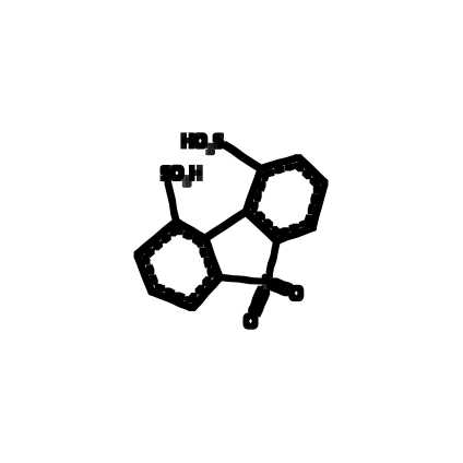 O=S(=O)(O)c1cccc2c1-c1c(S(=O)(=O)O)cccc1S2(=O)=O